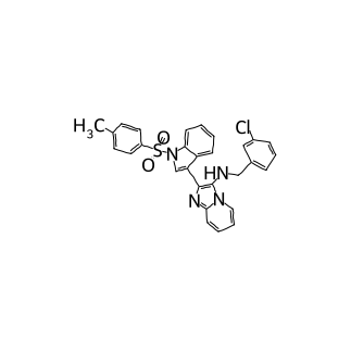 Cc1ccc(S(=O)(=O)n2cc(-c3nc4ccccn4c3NCc3cccc(Cl)c3)c3ccccc32)cc1